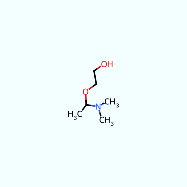 CC(OCCO)N(C)C